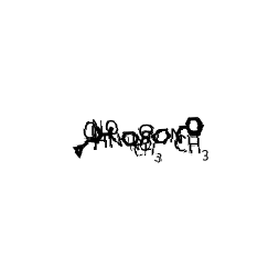 C[C@H]1C[C@@H](NC(=O)c2cc(C3CC3)on2)CCN1S(=O)(=O)N1CCC(N(C)Cc2ccccc2)CC1